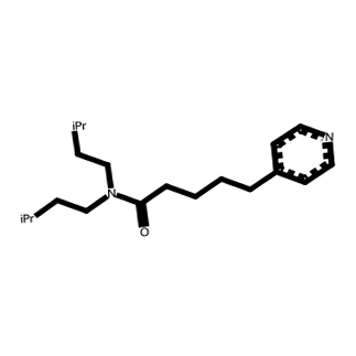 CC(C)CCN(CCC(C)C)C(=O)CCCCc1ccncc1